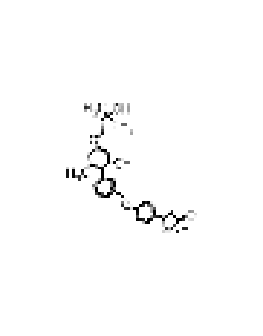 CC1CC(OCCC(C)(C)O)=C[C@H](C)C1c1cccc(COc2ccc(C3CC(=O)NS3)cc2)c1